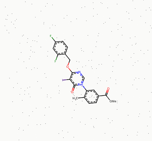 COC(=O)c1ccc(C)c(-n2cnc(OCc3ccc(F)cc3F)c(I)c2=O)c1